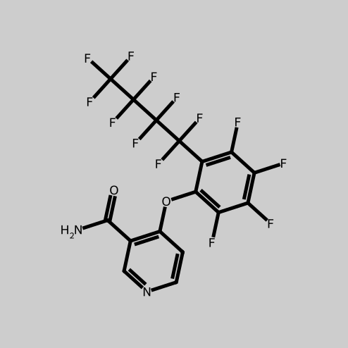 NC(=O)c1cnccc1Oc1c(F)c(F)c(F)c(F)c1C(F)(F)C(F)(F)C(F)(F)C(F)(F)F